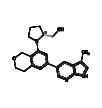 Cc1c[nH]c2ncc(-c3cc4c(c(N5CCC[C@@H]5CO)c3)COCC4)cc12